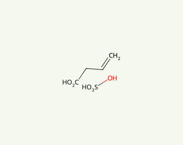 C=CCC(=O)O.O=S(=O)(O)O